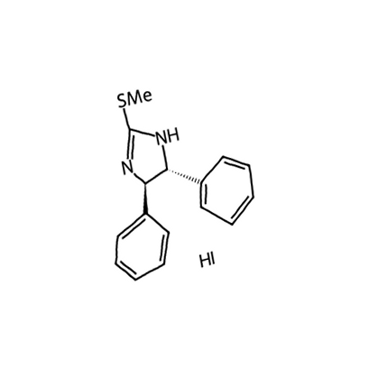 CSC1=N[C@H](c2ccccc2)[C@@H](c2ccccc2)N1.I